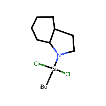 CCC(C)[Si](Cl)(Cl)N1CCC2CCCCC21